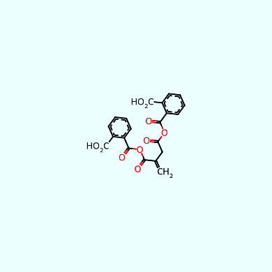 C=C(CC(=O)OC(=O)c1ccccc1C(=O)O)C(=O)OC(=O)c1ccccc1C(=O)O